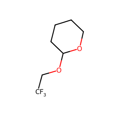 FC(F)(F)COC1CCCCO1